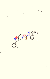 COc1ccccc1NC(=S)ON1CCC2(CC1)CC(c1ccccc1)=NO2